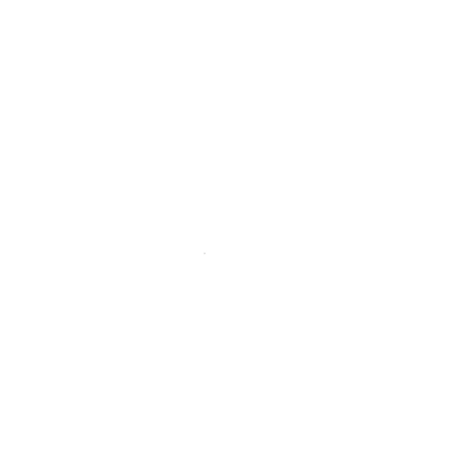 CC(C)(COCc1ccccc1)C1CC(=O)CCO1